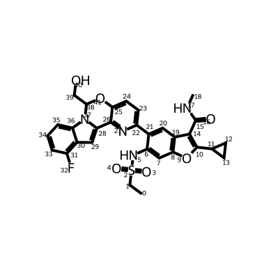 CCS(=O)(=O)Nc1cc2oc(C3CC3)c(C(=O)NC)c2cc1-c1ccc2c(n1)-c1cc3c(F)cccc3n1C(CO)O2